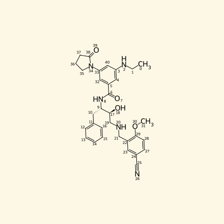 CCNc1cc(C(=O)N[C@@H](Cc2ccccc2)[C@@H](O)CNCc2cc(C#N)ccc2OC)cc(N2CCCC2=O)c1